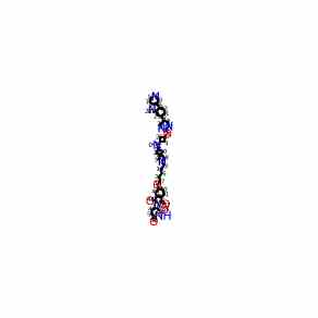 CN(C1CC(Oc2ncc(-c3ccc4c5cnccc5n(C)c4c3)cn2)C1)C1CC2(C1)CN(CCCCCOc1ccc3c(c1)C(=O)N(C1CCC(=O)NC1=O)C3=O)C2